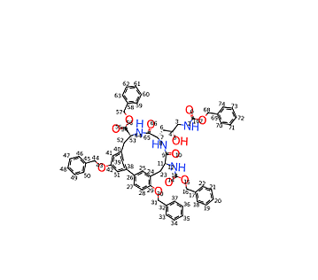 O=C(NC[C@H](O)C[C@@H]1NC(=O)[C@@H](NC(=O)OCc2ccccc2)Cc2cc(ccc2OCc2ccccc2)-c2cc(cc(OCc3ccccc3)c2)C[C@@H](C(=O)OCc2ccccc2)NC1=O)OCc1ccccc1